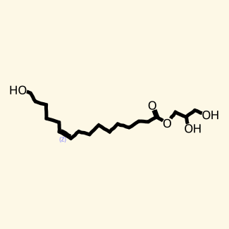 O=C(CCCCCCCC/C=C\CCCCCO)OCC(O)CO